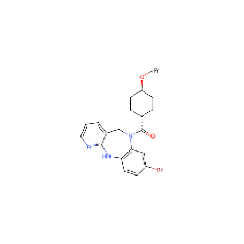 CC(C)O[C@H]1CC[C@H](C(=O)N2Cc3cccnc3Nc3ccc(Br)cc32)CC1